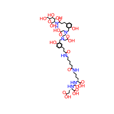 O=C(O)CC[C@H](NC(=O)N[C@@H](CCCCNC(=O)CCCCCNC(=O)CCc1ccc(O)c(CN(CCN(CC(=O)O)Cc2cc(CCC(=O)N[C@@H]3C(O)OC(CO)[C@@H](O)C3O)ccc2O)CC(=O)O)c1)C(=O)O)C(=O)O